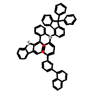 c1ccc(C2(c3ccccc3)c3ccccc3-c3c(N(c4ccc(-c5cccc(-c6cccc7ccccc67)c5)cc4)c4ccccc4-c4cccc5c4sc4ccccc45)cccc32)cc1